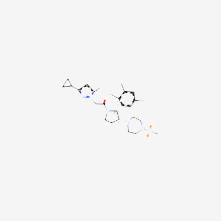 Cc1cc(F)cc([C@@H]2[C@H](N3CCN(S(C)(=O)=O)CC3)CCN2C(=O)Cn2nc(C3CC3)cc2C(F)(F)F)c1Cl